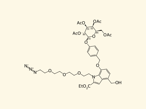 CCOC(=O)c1cc2c(CO)ccc(OCc3ccc(O[C@@H]4O[C@H](COC(C)=O)[C@H](OC(C)=O)[C@H](OC(C)=O)[C@H]4OC(C)=O)cc3)c2n1CCOCCOCCOCCN=[N+]=[N-]